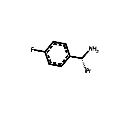 CC(C)[C@@H](N)c1ccc(F)cc1